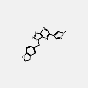 Cn1cc(-c2cnc3nnn(Cc4ccc5c(c4)CCO5)c3n2)cn1